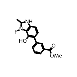 COC(=O)c1cccc(-c2ccc3c(c2O)N(F)C(C)N3)c1